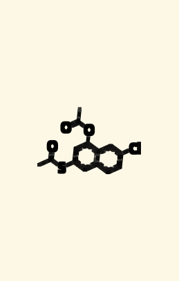 CC(=O)Oc1cc(SC(C)=O)cc2ccc(Cl)cc12